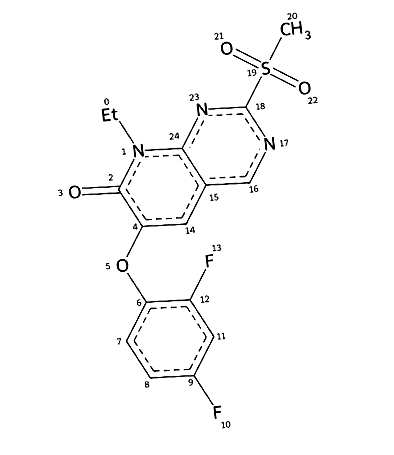 CCn1c(=O)c(Oc2ccc(F)cc2F)cc2cnc(S(C)(=O)=O)nc21